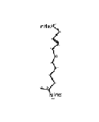 CCCCCCCCC=CCCCCCCC(C)NC